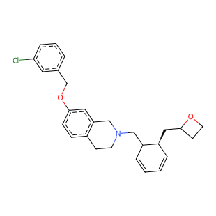 Clc1cccc(COc2ccc3c(c2)CN(CC2C=CC=C[C@@H]2CC2CCO2)CC3)c1